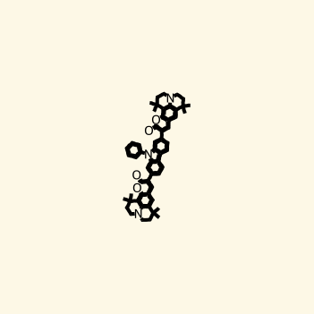 CC1(C)CCN2CCC(C)(C)c3c2c1cc1cc(-c2ccc4c5ccc(-c6cc7cc8c9c(c7oc6=O)C(C)(C)CCN9CCC8(C)C)cc5n(-c5ccccc5)c4c2)c(=O)oc31